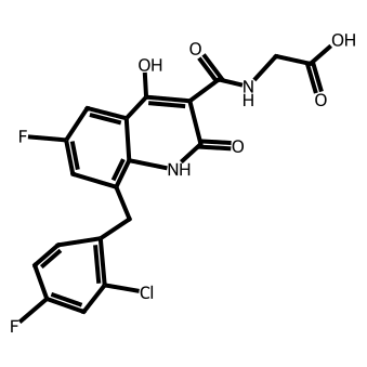 O=C(O)CNC(=O)c1c(O)c2cc(F)cc(Cc3ccc(F)cc3Cl)c2[nH]c1=O